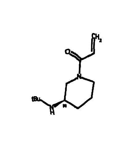 C=CC(=O)N1CCC[C@@H](NC(C)(C)C)C1